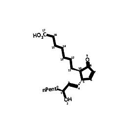 CCCCC[C@H](O)/C=C/[C@H]1C=CC(=O)[C@@H]1CCCCCCC(=O)O